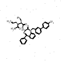 C=CC[C@H](C(N)=O)[C@@H](CC(C)C)C(=O)N[C@H]1N=C(c2ccccc2)c2ccccc2N(Cc2cccc(-c3ccc(C(F)(F)F)cc3)c2)C1=O